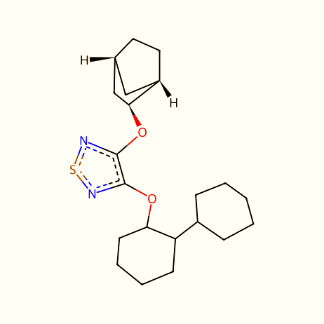 C1CCC(C2CCCCC2Oc2nsnc2O[C@H]2C[C@@H]3CC[C@H]2C3)CC1